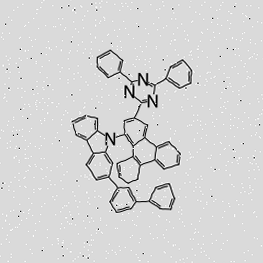 C1=Cc2c(c3ccccc3c3cc(-c4nc(-c5ccccc5)nc(-c5ccccc5)n4)cc(-n4c5ccccc5c5ccc(-c6cccc(-c7ccccc7)c6)cc54)c23)CC1